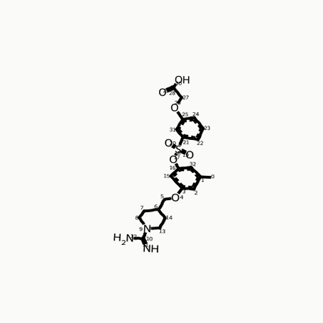 Cc1cc(OCC2CCN(C(=N)N)CC2)cc(OS(=O)(=O)c2cccc(OCC(=O)O)c2)c1